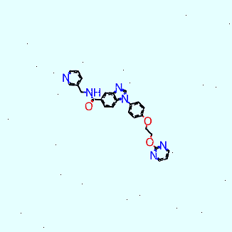 O=C(NCc1cccnc1)c1ccc2c(c1)ncn2-c1ccc(OCCOc2ncccn2)cc1